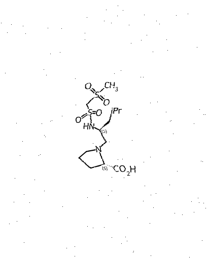 CC(C)C[C@@H](CN1CCC[C@H]1C(=O)O)NS(=O)(=O)CS(C)(=O)=O